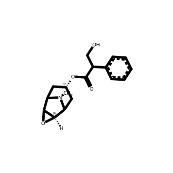 CN1C2C[C@H](OC(=O)C(CO)c3ccccc3)CC1[C@H]1OC21